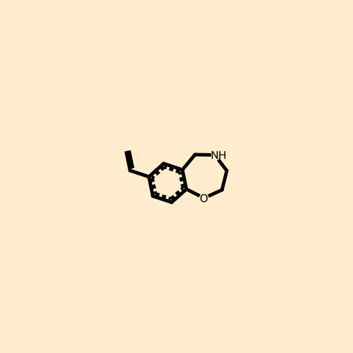 C=Cc1ccc2c(c1)CNCCO2